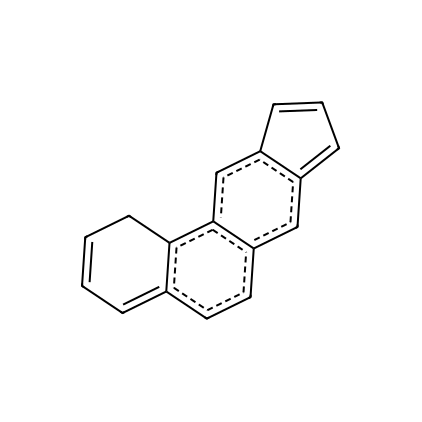 C1=CCc2c(ccc3cc4c(cc23)C=CC=4)=C1